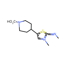 CN=c1sc(C2CCN(C(=O)O)CC2)cn1C